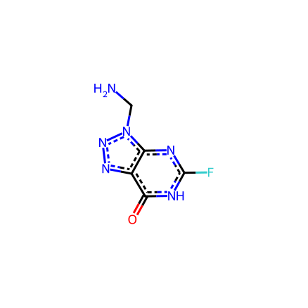 NCn1nnc2c(=O)[nH]c(F)nc21